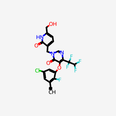 C#Cc1cc(Cl)cc(Oc2c(C(F)(F)C(F)F)ncn(Cc3ccc(CO)[nH]c3=O)c2=O)c1F